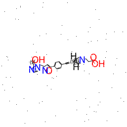 C[C@H](O)c1nccn1Cc1cc(-c2ccc(C#C[C@@H]3[C@H]4CN(CCC(=O)O)C[C@@H]34)cc2)on1